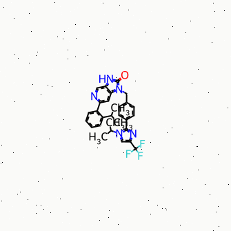 CC(C)c1ccccc1-c1cc2c(cn1)[nH]c(=O)n2Cc1ccc(-c2nc(C(F)(F)F)cn2C(C)C)cc1